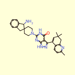 Cc1ccc2c(n1)CC(C)(C)C=C2c1n[nH]c2nc(N3CCC4(CC3)Cc3ccccc3[C@H]4N)[nH]c(=O)c12